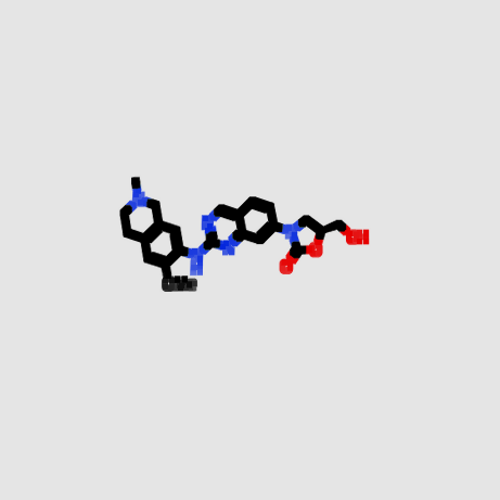 COc1cc2c(cc1Nc1ncc3ccc(N4C[C@@H](CO)OC4=O)cc3n1)CN(C)CC2